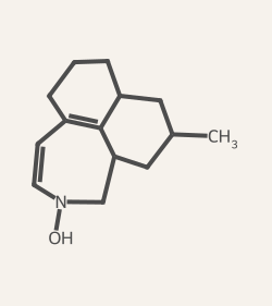 CC1CC2CCCC3=C2C(C1)CN(O)C=C3